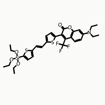 CCO[Si](OCC)(OCC)c1ccc(/C=C/c2ccc(-c3c(C(F)(F)F)c4ccc(N(CC)CC)cc4oc3=O)s2)s1